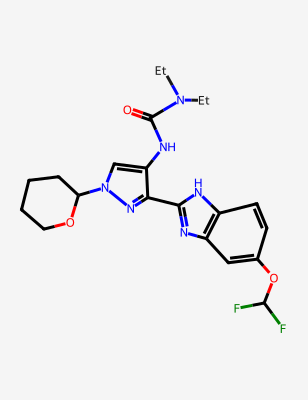 CCN(CC)C(=O)Nc1cn(C2CCCCO2)nc1-c1nc2cc(OC(F)F)ccc2[nH]1